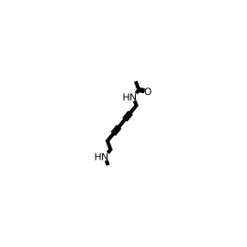 CNCCC#CC#CCNC(C)=O